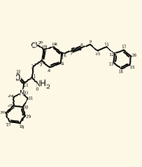 NC(Cc1ccc(C#CCCCc2ccccc2)cc1Cl)C(=O)N1Cc2ccccc2C1